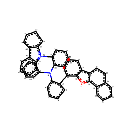 c1ccc(N(c2ccccc2-c2cccc3c2oc2c4ccccc4ccc32)c2ccccc2-n2c3ccccc3c3ccccc32)cc1